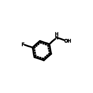 ONc1cccc(F)c1